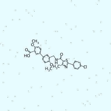 COc1ccc(-c2ccc(OC)c(C(=O)O)c2)cc1CNC(=O)c1sc(-c2ccc(Cl)cc2)nc1C